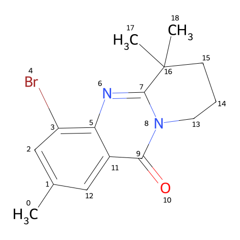 Cc1cc(Br)c2nc3n(c(=O)c2c1)CCCC3(C)C